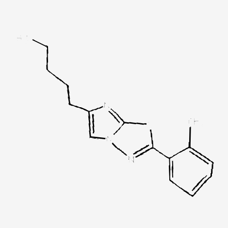 CCCCCc1cn2nc(-c3ccccc3C)sc2n1